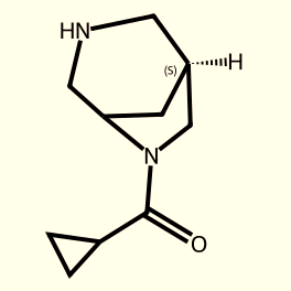 O=C(C1CC1)N1C[C@@H]2CNCC1C2